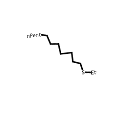 C[CH]SCCCCCCCCCCCC